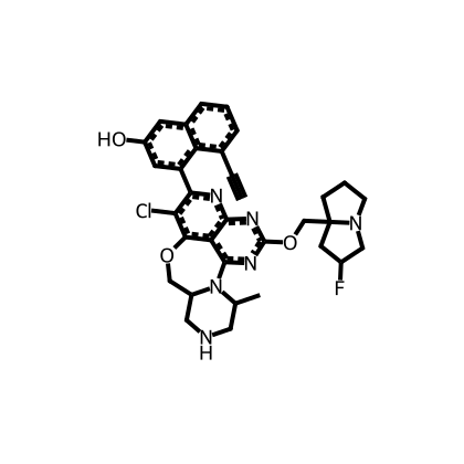 C#Cc1cccc2cc(O)cc(-c3nc4nc(OCC56CCCN5CC(F)C6)nc5c4c(c3Cl)OCC3CNCC(C)N53)c12